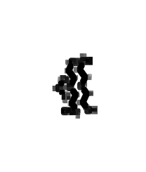 CCOCC.COCCOCCO.OCCOCCO